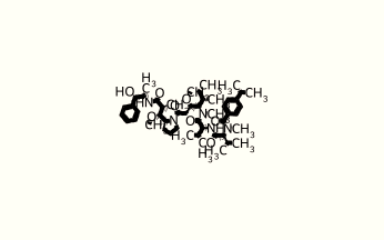 CC[C@H](C)[C@@H]([C@@H](CC(=O)N1CCC[C@H]1[C@H](OC)[C@@H](C)C(=O)N[C@H](C)[C@@H](O)c1ccccc1)OC)N(C)C(=O)[C@@H](NC(=O)[C@H](C(C)C)N(C)C(=O)c1ccc(C(C)C)cc1)C(C)C